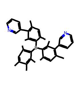 Cc1cc(C)c(B(c2c(C)cc(C)c(-c3cccnc3)c2C)c2c(C)cc(C)c(-c3cccnc3)c2C)c(C)c1C